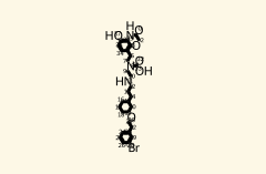 O=C1COc2c(CCN(CCNCCCC3CCCC(OCCc4cccc(Br)c4)C3)C(=O)O)ccc(O)c2N1